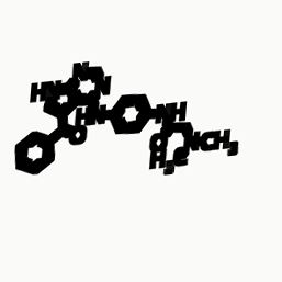 CN(C)CC(=O)Nc1ccc(Nc2ncnc3[nH]cc(C(=O)c4ccccc4)c23)cc1